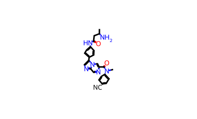 CC(N)CC(=O)Nc1ccc(-c2cnc3cnc(C(=O)N(C)c4ccc(C#N)cc4)cn23)cc1